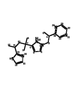 CC(C[n+]1ccc(C(C)(C)CC(C)c2nccs2)[nH]1)c1cnccn1